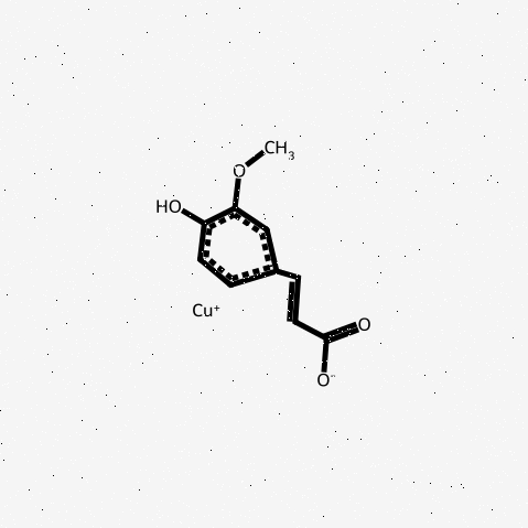 COc1cc(C=CC(=O)[O-])ccc1O.[Cu+]